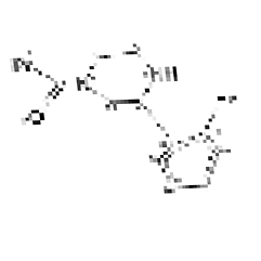 CC(C)C(=O)N1CCNC(c2ccccc2F)C1